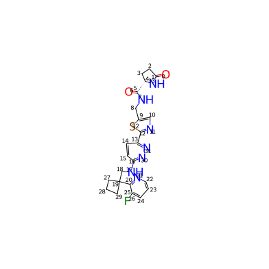 O=C1CC[C@@H](C(=O)NCc2cnc(-c3ccc(NCC4(c5ncccc5F)CCC4)nn3)s2)N1